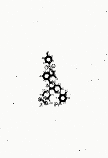 Cc1ccc(S(=O)(=O)n2cc(C)c3c(-c4nc5c(c(N6CCN(S(C)(=O)=O)[C@H](C)C6)n4)CN(c4cc(C(C)C)ccc4C)CC5)cccc32)cc1